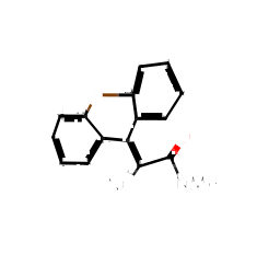 CNC(=O)C(C#N)=C1c2ccccc2Sc2ccccc21